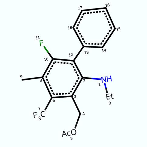 CCNc1c(COC(C)=O)c(C(F)(F)F)c(C)c(F)c1-c1ccccc1